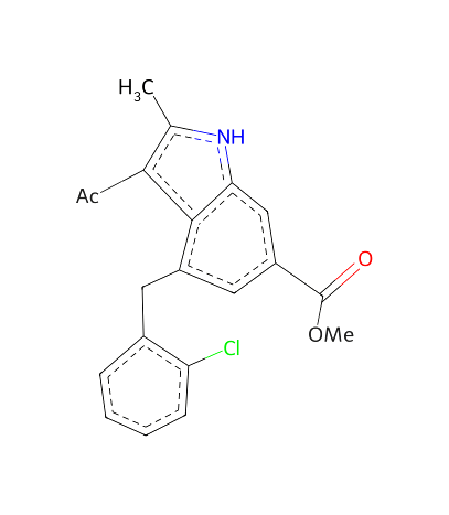 COC(=O)c1cc(Cc2ccccc2Cl)c2c(C(C)=O)c(C)[nH]c2c1